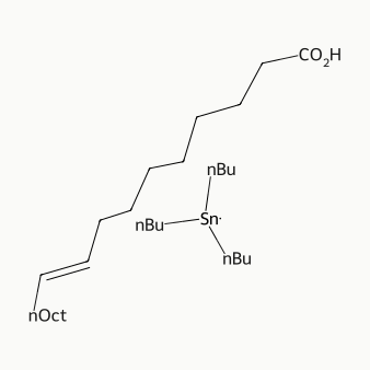 CCCCCCCCC=CCCCCCCCC(=O)O.CCC[CH2][Sn]([CH2]CCC)[CH2]CCC